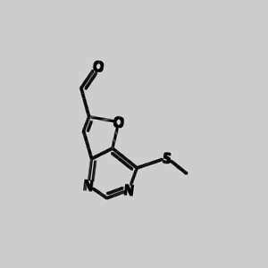 CSc1ncnc2cc(C=O)oc12